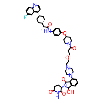 C[C@@H](C(=O)Nc1ccc(OC2CCN(C(=O)CCOCCN3CCN(c4cccc5c4C(=O)N(C4CCC(=O)NC4=O)C5O)CC3)CC2)cc1)[C@H]1CC[C@@H](c2ccnc3ccc(F)cc32)CC1